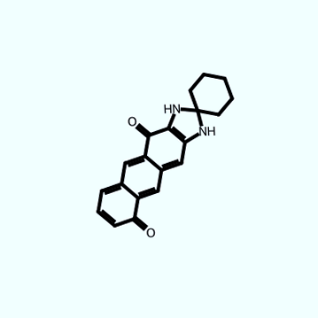 O=C1C=CC=c2cc3c(cc21)=CC1=C(NC2(CCCCC2)N1)C3=O